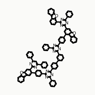 c1ccc(-c2cc(-c3ccccc3)nc(-c3cc4oc5ccccc5c4cc3-c3ccc(-c4nc(-c5ccccc5)nc(-c5ccc(-c6cccc(-c7nc(-c8ccccc8)nc(-c8ccc(-c9cc(-c%10nc(-c%11ccccc%11)nc(-c%11cccc%12c%11oc%11ccccc%11%12)n%10)cc%10oc%11ccccc%11c9%10)cc8)n7)c6)cc5)n4)cc3)n2)cc1